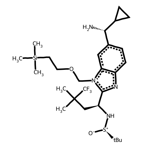 CC(C)(C)[S@@+]([O-])N[C@@H](CC(C)(C)C(F)(F)F)c1nc2ccc([C@H](N)C3CC3)cc2n1COCC[Si](C)(C)C